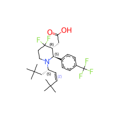 CC(C)(C)/C=C\[C@H](CC(C)(C)C)N1CCC(F)(F)[C@H](CC(=O)O)[C@H]1c1ccc(C(F)(F)F)cc1